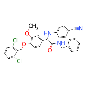 COc1cc(C(Nc2ccc(C#N)cc2)C(=O)NCc2ccccc2)ccc1OCc1c(Cl)cccc1Cl